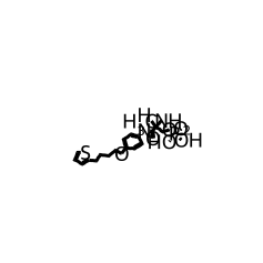 CC(N)(COP(=O)(O)O)C(=O)Nc1ccc(OCCCCc2cccs2)cc1